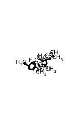 C=Cc1ccc([Si](C)(C)OC(C)(C)CC(C)(CCC(F)(F)F)C[Si](C)(C)C)cc1